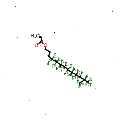 C=CC(=O)OCCCC(F)(F)C(F)(F)C(F)(F)C(F)(F)C(F)(F)C(F)(F)C(F)(F)C(F)(F)C(F)(C(F)(F)F)C(F)(F)F